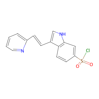 O=S(=O)(Cl)c1ccc2c(/C=C/c3ccccn3)c[nH]c2c1